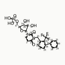 O=c1ccn([C@@H]2O[C@H](COP(=O)(O)O)[C@H](O)[C@@H]2O)c(=O)n1Cc1nccc(-c2ccccc2)c1C(F)(F)F